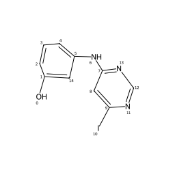 Oc1cccc(Nc2cc(I)ncn2)c1